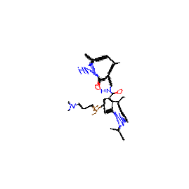 Cc1cc(C)c(CNC(=O)c2cc(SCCCN(C)C)cc3c2c(C)cn3C(C)C)c(=O)[nH]1